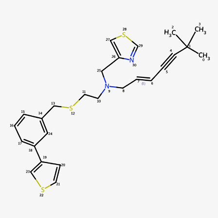 CC(C)(C)C#C/C=C/CN(CCSCc1cccc(-c2ccsc2)c1)Cc1cscn1